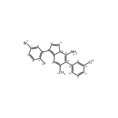 Cc1nc2c(-c3cc(Br)ccc3F)cnn2c(N)c1-c1cccc(Cl)c1